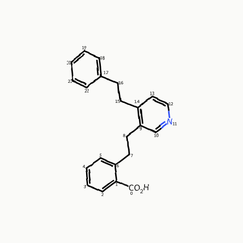 O=C(O)c1ccccc1CCc1cnccc1CCc1ccccc1